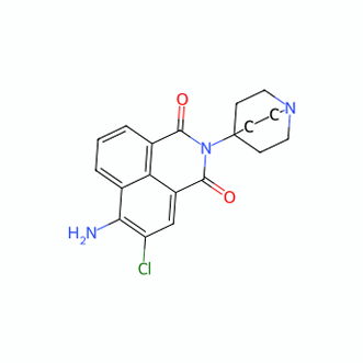 Nc1c(Cl)cc2c3c(cccc13)C(=O)N(C13CCN(CC1)CC3)C2=O